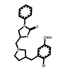 COc1ccc(Br)c(CC2CCN(CC3CN(c4ccccc4)C(=O)S3)C2)c1